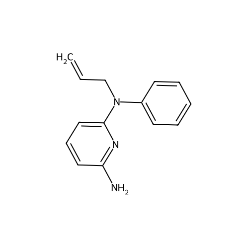 C=CCN(c1ccccc1)c1cccc(N)n1